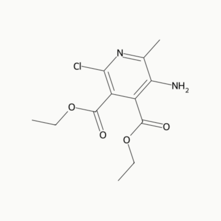 CCOC(=O)c1c(Cl)nc(C)c(N)c1C(=O)OCC